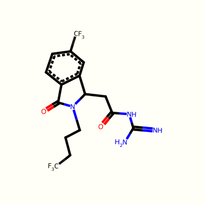 N=C(N)NC(=O)CC1c2cc(C(F)(F)F)ccc2C(=O)N1CCCC(F)(F)F